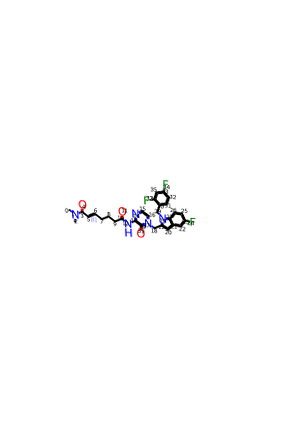 CN(C)C(=O)/C=C/CCCC(=O)Nc1nccn(Cc2cc3cc(F)ccc3n2Cc2ccc(F)cc2F)c1=O